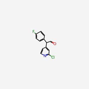 O=CC(c1ccc(F)cc1)c1ccnc(Cl)c1